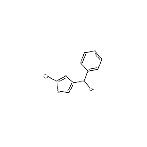 [O]C(c1ccccc1)c1csc(Cl)c1